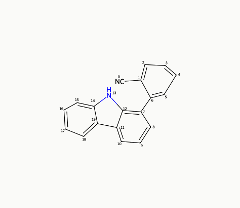 N#Cc1ccccc1-c1cccc2c1[nH]c1ccccc12